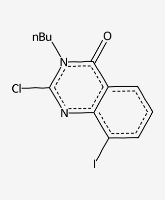 CCCCn1c(Cl)nc2c(I)cccc2c1=O